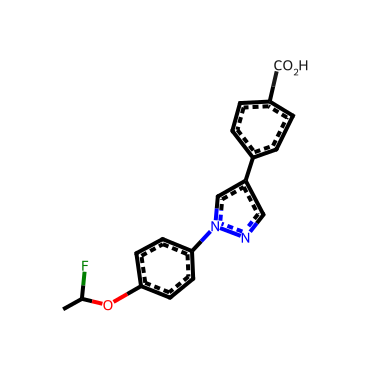 CC(F)Oc1ccc(-n2cc(-c3ccc(C(=O)O)cc3)cn2)cc1